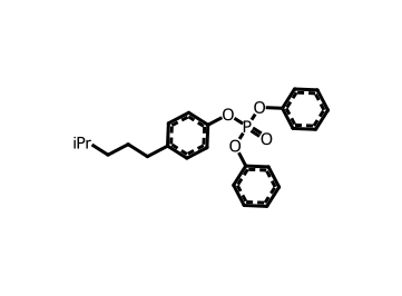 CC(C)CCCc1ccc(OP(=O)(Oc2ccccc2)Oc2ccccc2)cc1